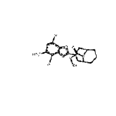 CCOC(=O)c1cc(Br)c2oc(N3CC4CCCC(C3)N4C(=O)OC(C)(C)C)nc2c1C(F)(F)F